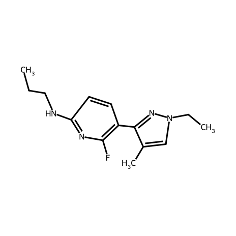 CCCNc1ccc(-c2nn(CC)cc2C)c(F)n1